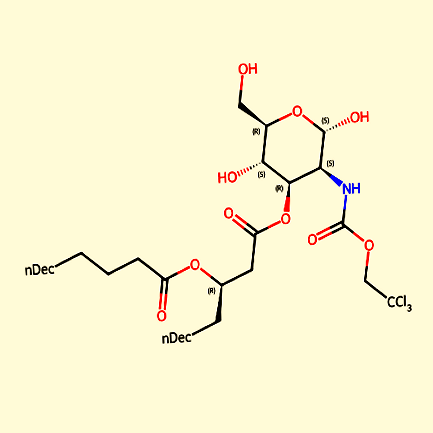 CCCCCCCCCCCCCC(=O)O[C@H](CCCCCCCCCCC)CC(=O)O[C@H]1[C@H](O)[C@@H](CO)O[C@H](O)[C@H]1NC(=O)OCC(Cl)(Cl)Cl